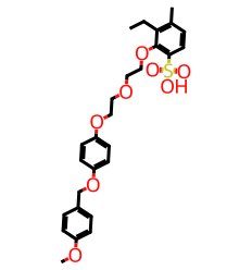 CCc1c(C)ccc(S(=O)(=O)O)c1OCCOCCOc1ccc(OCc2ccc(OC)cc2)cc1